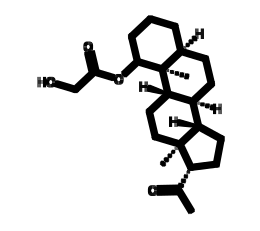 CC(=O)[C@H]1CC[C@H]2[C@@H]3CC[C@@H]4CCCC(OC(=O)CO)[C@]4(C)[C@H]3CC[C@]12C